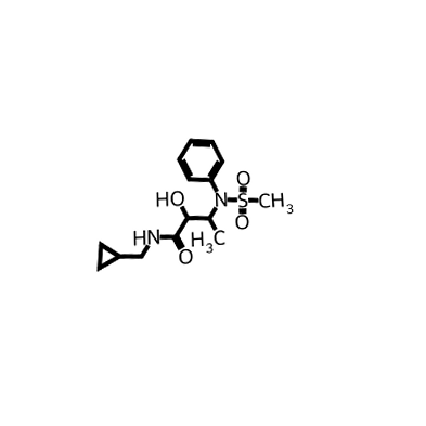 CC(C(O)C(=O)NCC1CC1)N(c1ccccc1)S(C)(=O)=O